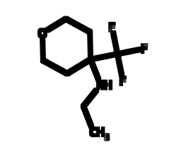 CCNC1(C(F)(F)F)CCOCC1